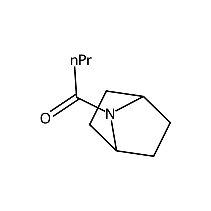 CCCC(=O)N1C2CCC1CC2